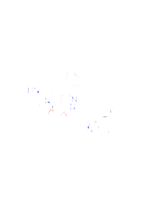 N[C@]1(c2cccc(Cl)c2)CC[C@H](n2nc(-c3ccccc3)cc(C(=O)N3CCNCC3)c2=O)CC1